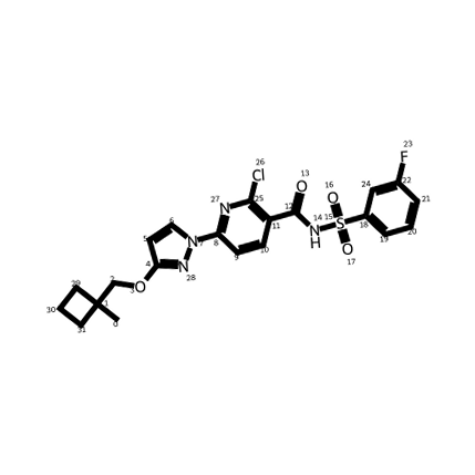 CC1(COc2ccn(-c3ccc(C(=O)NS(=O)(=O)c4cccc(F)c4)c(Cl)n3)n2)CCC1